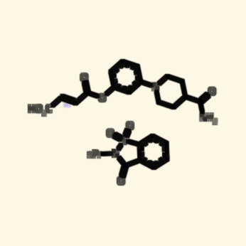 CCCN1C(=O)c2ccccc2S1(=O)=O.NC(=O)C1CCN(c2cccc(OC(=O)/C=C/C(=O)O)c2)CC1